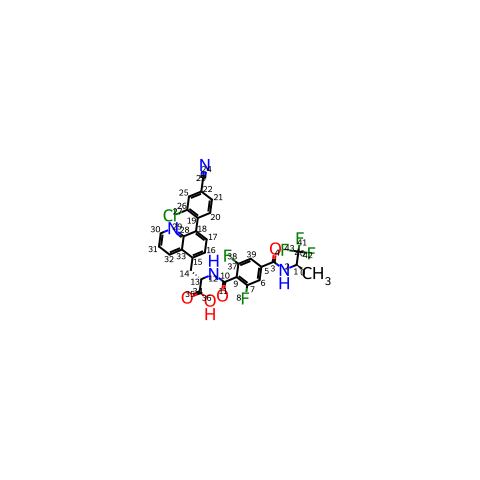 C[C@@H](NC(=O)c1cc(F)c(C(=O)N[C@@H](Cc2ccc(-c3ccc(C#N)cc3Cl)c3ncccc23)C(=O)O)c(F)c1)C(F)(F)F